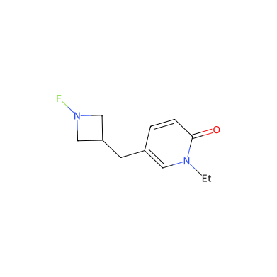 CCn1cc(CC2CN(F)C2)ccc1=O